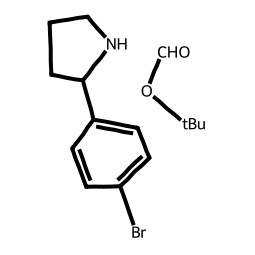 Brc1ccc(C2CCCN2)cc1.CC(C)(C)OC=O